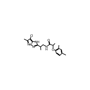 Cc1ccc(OC(C)C(=O)NCC(C)c2nn3nc(C)c(Cl)c3[nH]2)c(C)c1